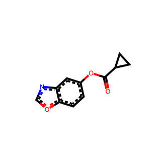 O=C(Oc1ccc2ocnc2c1)C1CC1